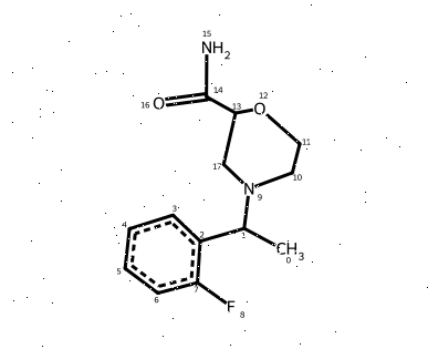 CC(c1ccccc1F)N1CCOC(C(N)=O)C1